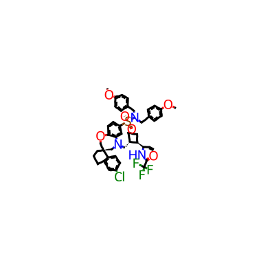 C=CC(NC(=O)C(F)(F)F)[C@@H]1CC[C@H]1CN1C[C@@]2(CCCc3cc(Cl)ccc32)COc2ccc(S(=O)(=O)N(Cc3ccc(OC)cc3)Cc3ccc(OC)cc3)cc21